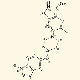 Cc1cc2c(nc1N1CCC(Oc3ccc4c(ccn4C)c3)CC1)CNC2=O